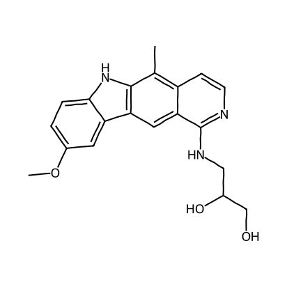 COc1ccc2[nH]c3c(C)c4ccnc(NCC(O)CO)c4cc3c2c1